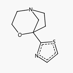 c1csc(C23CCN(CCO2)C3)n1